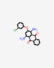 Nc1cc(Oc2cccc(Cl)c2)c(N)c2c1C(=O)c1ccccc1C2=O